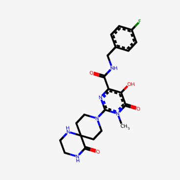 Cn1c(N2CCC3(CC2)NCCNC3=O)nc(C(=O)NCc2ccc(F)cc2)c(O)c1=O